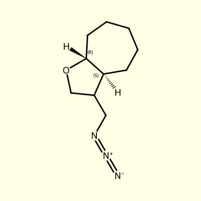 [N-]=[N+]=NCC1CO[C@@H]2CCCCC[C@@H]12